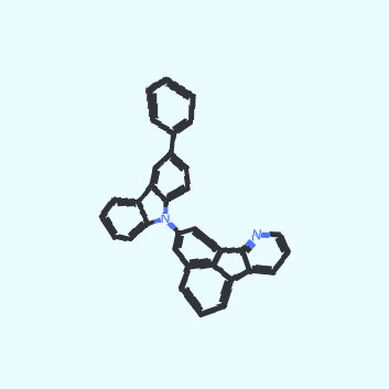 c1ccc(-c2ccc3c(c2)c2ccccc2n3-c2cc3c4c(cccc4c2)-c2cccnc2-3)cc1